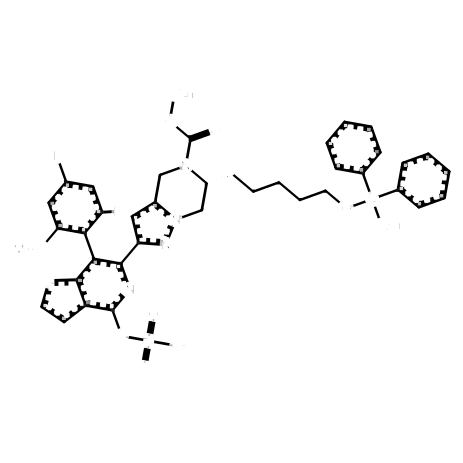 COc1cc(F)cc(F)c1-c1c(-c2cc3n(n2)C[C@@H](CCCCCO[Si](c2ccccc2)(c2ccccc2)C(C)(C)C)N(C(=O)OC(C)(C)C)C3)nc(OS(=O)(=O)C(F)(F)F)c2ccsc12